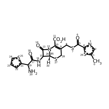 Cc1cnc(C(=O)SCC2=C(C(=O)O)N3C(=O)C(NC(=O)C(N)c4cccs4)[C@H]3SC2)s1